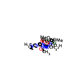 C=CC(=O)Nc1cc(N2CCC(N(C)C3CC3)CC2)ccc1N(C(=O)OC(C)(C)C)c1cc(N(C)C(=O)N(C(=O)O)c2c(Cl)c(OC)cc(OC)c2Cl)ncn1